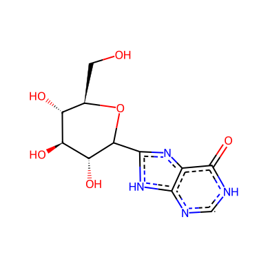 O=c1[nH][c]nc2[nH]c(C3O[C@H](CO)[C@@H](O)[C@H](O)[C@H]3O)nc12